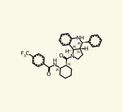 O=C(N[C@@H]1CCCC[C@@H]1C(=O)N1CC[C@H]2[C@H](c3ccccc3)Nc3ccccc3[C@@H]21)c1ccc(C(F)(F)F)cc1